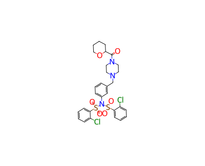 O=C(C1CCCCO1)N1CCN(Cc2cccc(N(S(=O)(=O)c3ccccc3Cl)S(=O)(=O)c3ccccc3Cl)c2)CC1